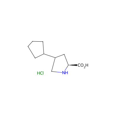 Cl.O=C(O)[C@@H]1CC(C2CCCC2)CN1